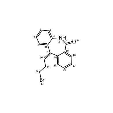 O=C1Nc2ccccc2/C(=C/CCBr)c2ccccc21